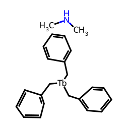 CNC.c1ccc([CH2][Tb]([CH2]c2ccccc2)[CH2]c2ccccc2)cc1